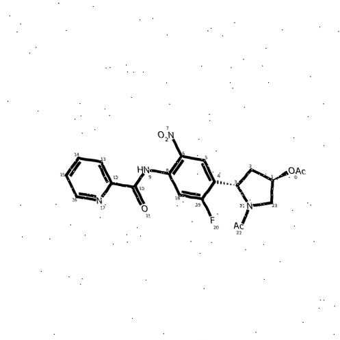 CC(=O)O[C@@H]1C[C@@H](c2cc([N+](=O)[O-])c(NC(=O)c3ccccn3)cc2F)N(C(C)=O)C1